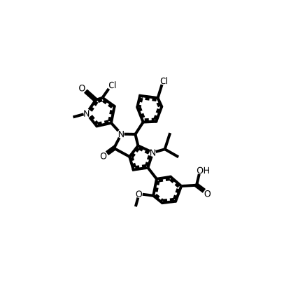 COc1ccc(C(=O)O)cc1-c1cc2c(n1C(C)C)C(c1ccc(Cl)cc1)N(c1cc(Cl)c(=O)n(C)c1)C2=O